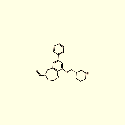 O=CN1CCOc2c(cc(-c3ccccc3)cc2OC[C@H]2CCCNC2)C1